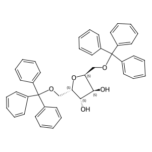 O[C@H]1[C@H](O)[C@H](COC(c2ccccc2)(c2ccccc2)c2ccccc2)O[C@H]1COC(c1ccccc1)(c1ccccc1)c1ccccc1